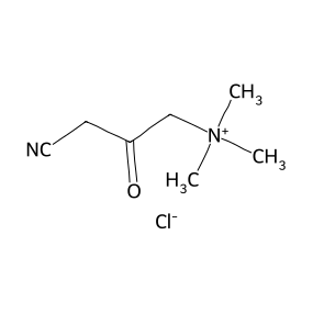 C[N+](C)(C)CC(=O)CC#N.[Cl-]